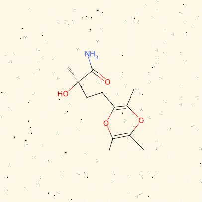 CC1=C(C)OC(CC[C@@](C)(O)C(N)=O)=C(C)O1